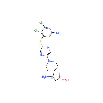 Nc1cc(Sc2cnc(N3CCC4(CC3)C[C@H](O)C[C@H]4N)cn2)c(Cl)c(Cl)n1